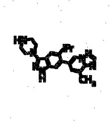 Cc1cc(-c2cc3[nH]nc(N4CCNCC4)c3cc2C(C)C)cn2ncnc12